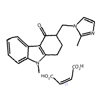 Cc1nccn1CC1CCc2c(c3ccccc3n2C)C1=O.O=C(O)/C=C\C(=O)O